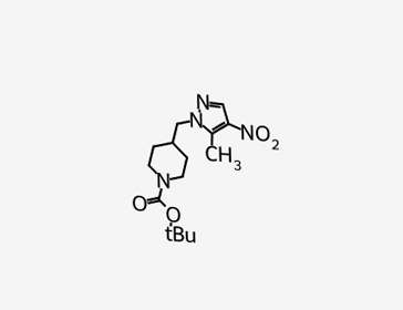 Cc1c([N+](=O)[O-])cnn1CC1CCN(C(=O)OC(C)(C)C)CC1